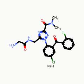 CN(C)C(=O)c1nc(CNC(=O)CN)n(-c2ccc(Cl)cc2C(=O)c2ccccc2Cl)n1.[NaH]